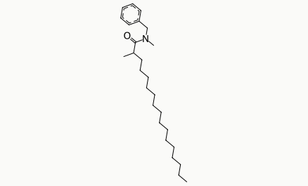 CCCCCCCCCCCCCCCC(C)C(=O)N(C)Cc1ccccc1